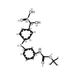 CC(C)(C)OC(=O)Nc1cccc(Sc2ccc(C(O)S(=O)O)cc2)c1